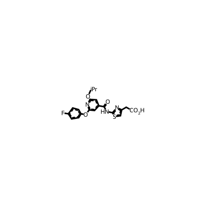 CC(C)Oc1cc(C(=O)Nc2nc(CC(=O)O)cs2)cc(Oc2ccc(F)cc2)n1